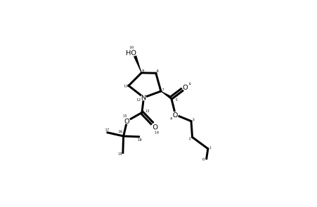 CCCCOC(=O)[C@@H]1C[C@H](O)CN1C(=O)OC(C)(C)C